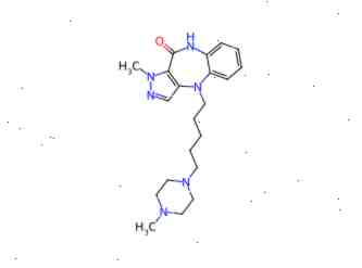 CN1CCN(CCCCCN2c3ccccc3NC(=O)c3c2cnn3C)CC1